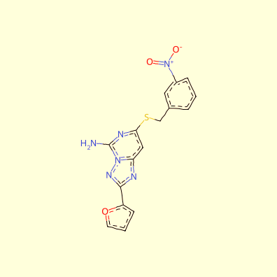 Nc1nc(SCc2cccc([N+](=O)[O-])c2)cc2nc(-c3ccco3)nn12